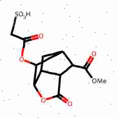 COC(=O)C1C2CC3C(OC(=O)C31)C2OC(=O)CS(=O)(=O)O